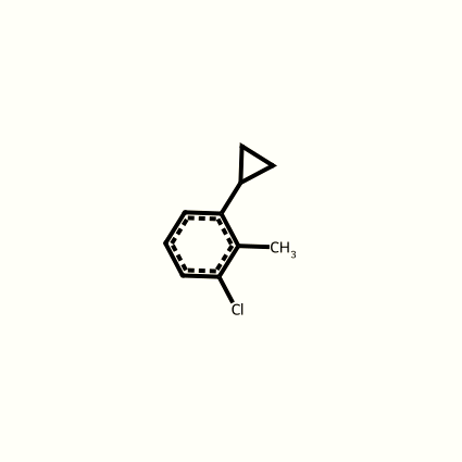 Cc1c(Cl)cccc1C1CC1